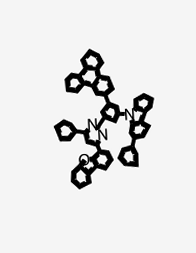 c1ccc(-c2ccc3c4ccccc4n(-c4cc(-c5ccc6c7ccccc7c7ccccc7c6c5)cc(-c5nc(-c6ccccc6)cc(-c6cccc7c6oc6ccccc67)n5)c4)c3c2)cc1